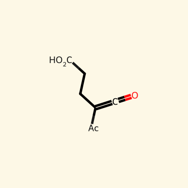 CC(=O)C(=C=O)CCC(=O)O